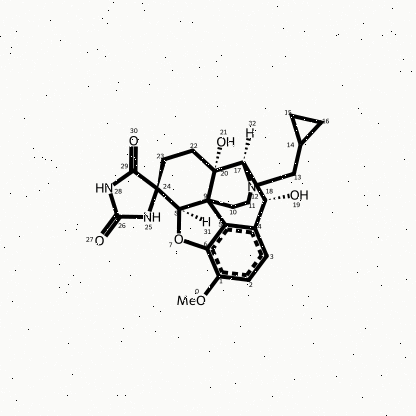 COc1ccc2c3c1O[C@@H]1C34CCN(CC3CC3)[C@H]([C@@H]2O)[C@]4(O)CC[C@]12NC(=O)NC2=O